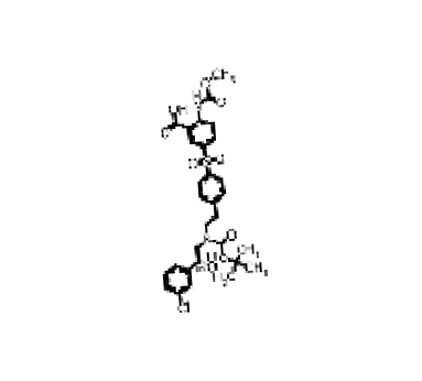 COC(=O)Nc1ccc(S(=O)(=O)c2ccc(CCN(C[C@H](O)c3cccc(Cl)c3)C(=O)OC(C)(C)C)cc2)cc1C(=O)O